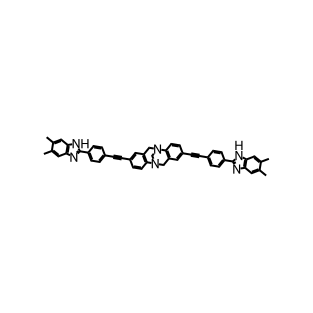 Cc1cc2nc(-c3ccc(C#Cc4ccc5c(c4)CN4CN5Cc5cc(C#Cc6ccc(-c7nc8cc(C)c(C)cc8[nH]7)cc6)ccc54)cc3)[nH]c2cc1C